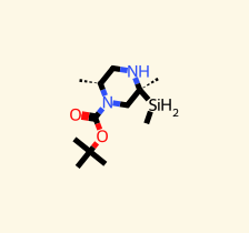 C[SiH2][C@@]1(C)CN(C(=O)OC(C)(C)C)[C@H](C)CN1